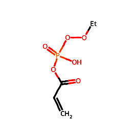 C=CC(=O)OP(=O)(O)OOCC